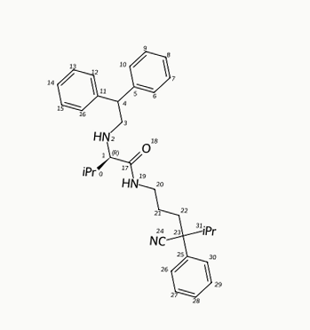 CC(C)[C@@H](NCC(c1ccccc1)c1ccccc1)C(=O)NCCCC(C#N)(c1ccccc1)C(C)C